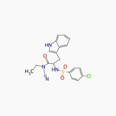 CCN(C#N)C(=O)C(Cc1c[nH]c2ccccc12)NS(=O)(=O)c1ccc(Cl)cc1